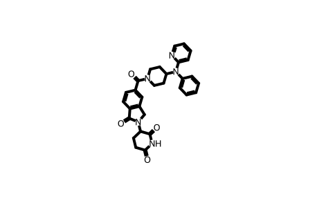 O=C1CCC(N2Cc3cc(C(=O)N4CCC(N(c5ccccc5)c5ccccn5)CC4)ccc3C2=O)C(=O)N1